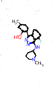 Cc1ccc(-c2nnc(NC3CCCN(C)C3)c3c(F)cccc23)c(O)c1